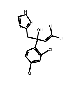 OC(C=C(Cl)Cl)(Cc1nc[nH]n1)c1ccc(Cl)cc1Cl